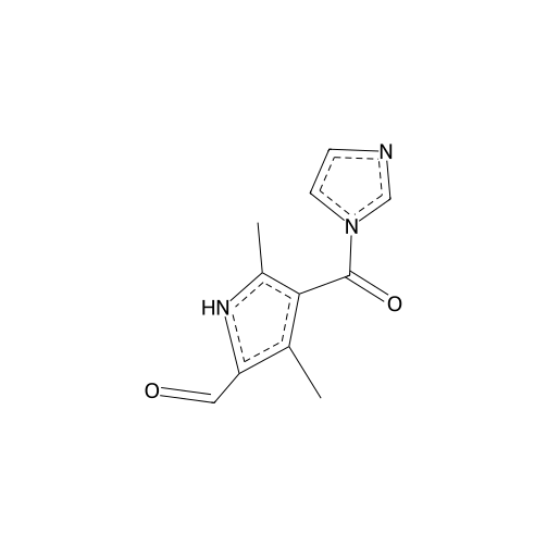 Cc1[nH]c(C=O)c(C)c1C(=O)n1ccnc1